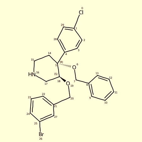 Clc1ccc([C@]2(OCc3ccccc3)CCNC[C@@H]2OCc2cccc(Br)c2)cc1